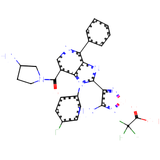 Nc1nonc1-c1nc2c(-c3ccccc3)ncc(C(=O)N3CCC(N)C3)c2n1-c1ccc(F)cc1.O=C(O)C(F)(F)F